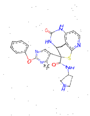 Cc1nc(Oc2ccccc2)ncc1C1(C(=O)NC2CCNC2)Sc2nccc3c2C1NC(=O)N3